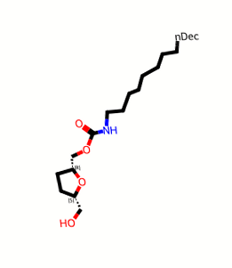 CCCCCCCCCCCCCCCCCCNC(=O)OC[C@H]1CC[C@@H](CO)O1